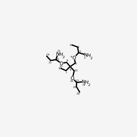 CCC(N)OCC(CC)(COC(N)CC)COC(N)CC